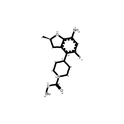 C[C@@H]1Cc2c(c(N)cc(F)c2C2CCN(C(=O)OC(C)(C)C)CC2)O1